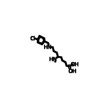 CNC(CCCCB(O)O)CCCNCc1ccc(Cl)cc1